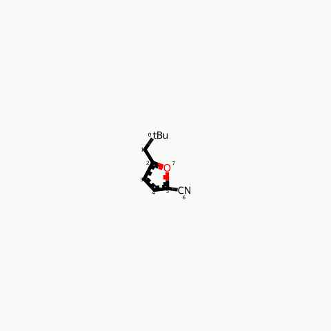 CC(C)(C)Cc1ccc(C#N)o1